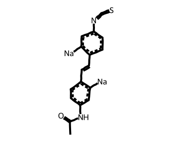 CC(=O)Nc1ccc(C=Cc2ccc(N=C=S)c[c]2[Na])[c]([Na])c1